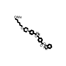 COCCCCCCOC1CCN(c2ccc(-c3nnc(-c4ccc(C(=O)On5nnc6ccccc65)cc4)o3)cc2)CC1